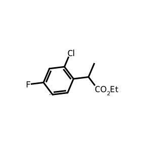 CCOC(=O)C(C)c1c[c]c(F)cc1Cl